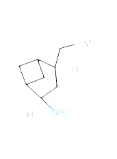 COC[C@H]1C[C@@H](N)C2CC1C2